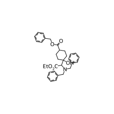 CCOC(=O)C(N(Cc1ccccc1)Cc1ccccc1)C1(O)CCC(C(=O)OCc2ccccc2)CC1